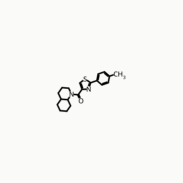 Cc1ccc(-c2nc(C(=O)N3CCCC4CCCCC43)cs2)cc1